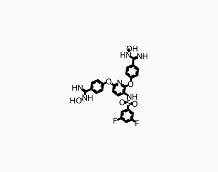 N=C(NO)c1ccc(Oc2ccc(NS(=O)(=O)c3cc(F)cc(F)c3)c(Oc3ccc(C(=N)NO)cc3)n2)cc1